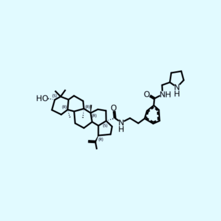 C=C(C)[C@@H]1CC[C@]2(C(=O)NCCc3cccc(C(=O)NCC4CCCN4)c3)CC[C@]3(C)C(CCC4[C@@]5(C)CC[C@H](O)C(C)(C)C5CC[C@]43C)C12